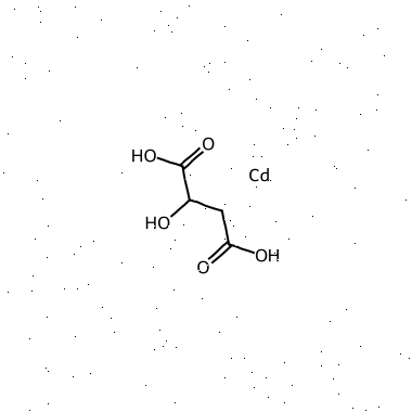 O=C(O)CC(O)C(=O)O.[Cd]